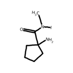 CN(I)C(=O)C1(N)CCCC1